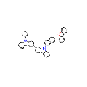 c1ccc(-n2c3ccccc3c3cc(-c4ccc5c6ccccc6n(-c6ccc7ccc(-c8cccc9c8oc8ccccc89)cc7c6)c5c4)ccc32)cc1